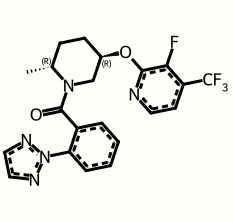 C[C@@H]1CC[C@@H](Oc2nccc(C(F)(F)F)c2F)CN1C(=O)c1ccccc1-n1nccn1